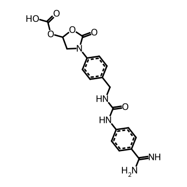 N=C(N)c1ccc(NC(=O)NCc2ccc(N3CC(OC(=O)O)OC3=O)cc2)cc1